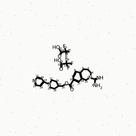 N=C(N)N1CCCc2ccc(C(=O)OCC3CCN(c4ccncc4)CC3)cc2C1.O=C(O)C(F)(F)F.O=C(O)C(F)(F)F